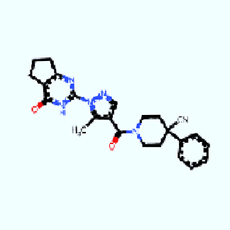 Cc1c(C(=O)N2CCC(C#N)(c3ccccc3)CC2)cnn1-c1nc2c(c(=O)[nH]1)CCC2